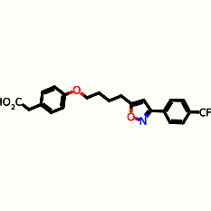 O=C(O)Cc1ccc(OCCCCc2cc(-c3ccc(C(F)(F)F)cc3)no2)cc1